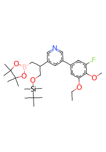 CCOc1cc(-c2cncc(C(CO[Si](C)(C)C(C)(C)C)CB3OC(C)(C)C(C)(C)O3)c2)cc(F)c1OC